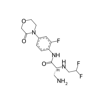 NC[C@@H](NCC(F)F)C(=O)Nc1ccc(N2CCOCC2=O)cc1F